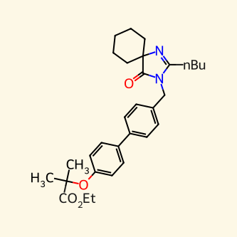 CCCCC1=NC2(CCCCC2)C(=O)N1Cc1ccc(-c2ccc(OC(C)(C)C(=O)OCC)cc2)cc1